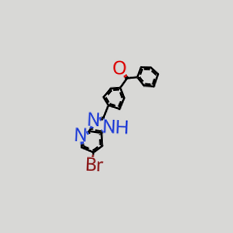 O=C(c1ccccc1)c1ccc(-c2nc3ncc(Br)cc3[nH]2)cc1